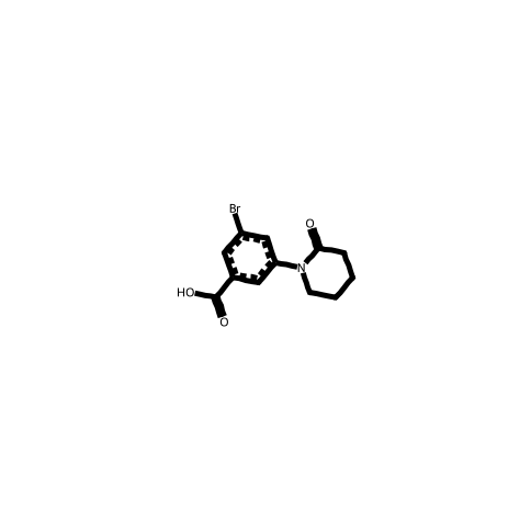 O=C(O)c1cc(Br)cc(N2CCCCC2=O)c1